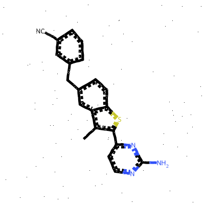 Cc1c(-c2ccnc(N)n2)sc2ccc(Cc3cccc(C#N)c3)cc12